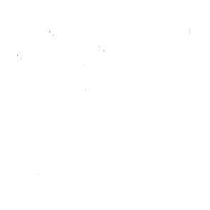 CCCCC1(O)CC2CC(c3ncn(C)c3C(=O)Nc3ccc(F)c(Cl)c3)CC2C1